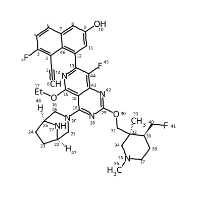 C#Cc1c(F)ccc2cc(O)cc(-c3nc(OCC)c4c(N5C[C@H]6CC[C@@H](C5)N6)nc(OC[C@]5(C)CN(C)CC[C@@H]5CF)nc4c3F)c12